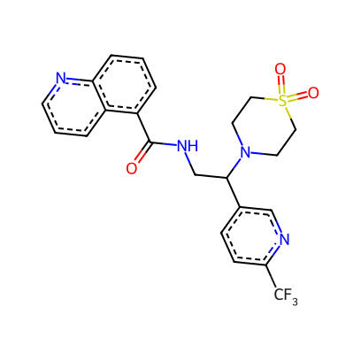 O=C(NCC(c1ccc(C(F)(F)F)nc1)N1CCS(=O)(=O)CC1)c1cccc2ncccc12